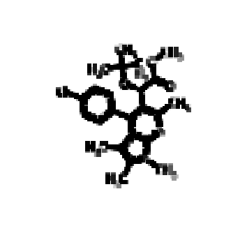 COC(=O)[C@H](OC(C)(C)C)c1c(C)nc2c(c(C)c(C)n2C)c1-c1ccc(Cl)cc1